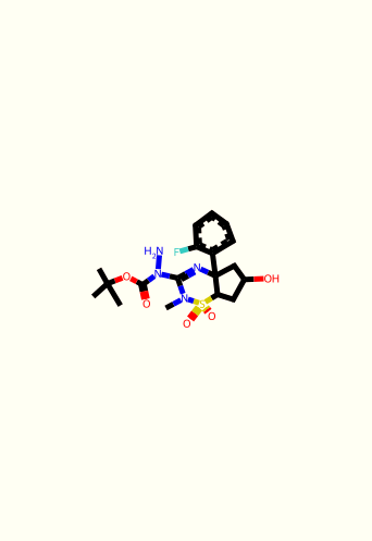 CN1C(N(N)C(=O)OC(C)(C)C)=NC2(c3ccccc3F)CC(O)CC2S1(=O)=O